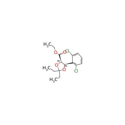 CCOC(=O)[C@@H]1OC(CC)(CC)O[C@@H]1c1c(Cl)cccc1Cl